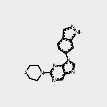 c1cc2cn[nH]c2cc1-n1cnc2cnc(N3CCSCC3)nc21